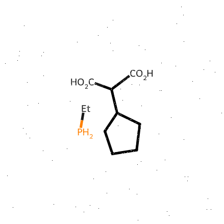 CCP.O=C(O)C(C(=O)O)C1CCCC1